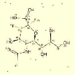 CC(=O)N[C@@H]1[C@@H](O)[C@H](F)[C@@](F)(C(=O)O)O[C@H]1[C@@H](O)[C@@H](O)CO